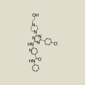 O=C(Nc1ccccc1)c1ccc(Nc2nc(-c3ccc(Cl)cc3)nc(N3CCN(CCO)CC3)n2)nc1